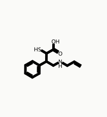 C=CCNCC(c1ccccc1)C(S)C(=O)O